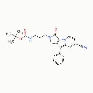 CC(C)(C)OC(=O)NCCCN1Cc2c(-c3ccccc3)c3cc(C#N)ccn3c2C1=O